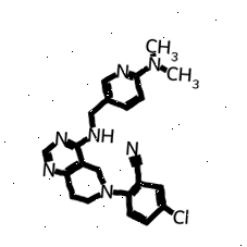 CN(C)c1ccc(CNc2ncnc3c2CN(c2ccc(Cl)cc2C#N)CC3)cn1